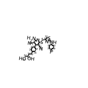 N#Cc1c(N)nc(SCc2csc(Nc3ccc(F)cc3)n2)c(C#N)c1-c1ccc(CCC(O)CO)cc1